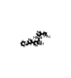 CC(=O)c1ccc(-c2cncc3[nH]c(-c4n[nH]c5ncc(-c6cncc(CN7CCCCC7)c6)cc45)nc23)s1